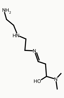 CN(C)C(O)CC=NCCNCCN